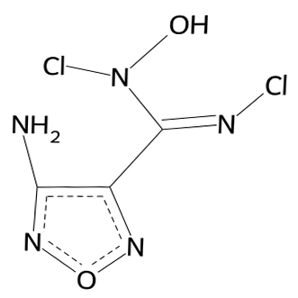 Nc1nonc1C(=NCl)N(O)Cl